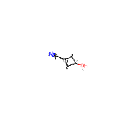 N#CB1CC(O)C1